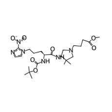 COC(=O)CCCN1C[C@H](NC(=O)[C@H](CCCn2ccnc2[N+](=O)[O-])NC(=O)OC(C)(C)C)C(C)(C)C1